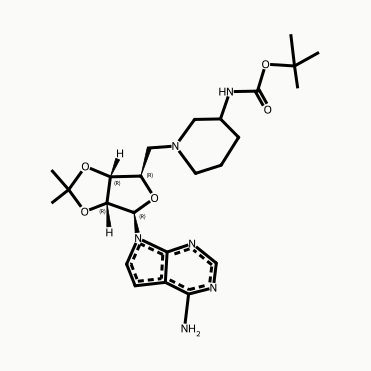 CC(C)(C)OC(=O)NC1CCCN(C[C@H]2O[C@@H](n3ccc4c(N)ncnc43)[C@@H]3OC(C)(C)O[C@@H]32)C1